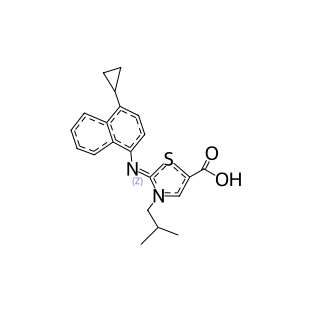 CC(C)Cn1cc(C(=O)O)s/c1=N\c1ccc(C2CC2)c2ccccc12